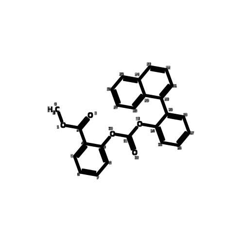 COC(=O)c1ccccc1OC(=O)Oc1ccccc1-c1cccc2ccccc12